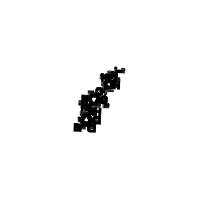 CCN1C[C@H]2C[C@@H](COc3cc4ncnc(Nc5ccc(Br)c(Cl)c5Cl)c4cc3OC)C[C@H]2C1